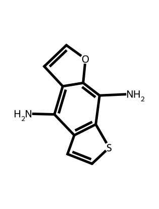 Nc1c2ccoc2c(N)c2sccc12